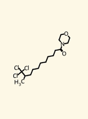 CC(CCCCCCCCC(=O)N1CCOCC1)C(Cl)(Cl)Cl